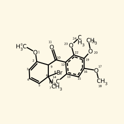 COC1=CC=CC(C)(Br)C1C(=O)c1c(C)cc(OC)c(OC)c1OC